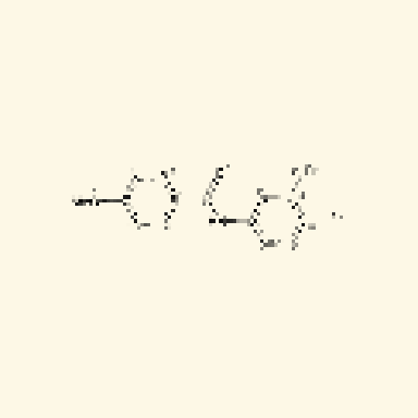 COc1cnc(C(=O)Nc2ccc(F)c(C(C)C)c2)cn1